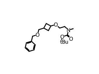 CN(CCOC1CC(COCc2ccccc2)C1)C(=O)OC(C)(C)C